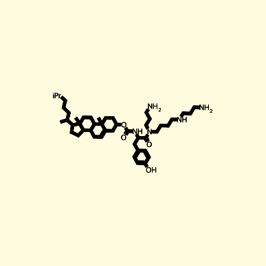 CC(C)CCCC(C)C1CCC2C3CC=C4CC(OC(=O)NC(Cc5ccc(O)cc5)C(=O)N(CCCN)CCCCNCCCN)CCC4(C)C3CCC12C